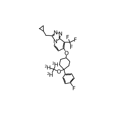 [2H]C([2H])([2H])OC1(c2ccc(F)cc2)CCC(Oc2ccn3c(CC4CC4)nnc3c2C(F)(F)F)CC1